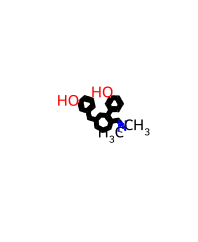 CN(C)CC1=C(c2cccc(O)c2)CC(Cc2cccc(O)c2)CCC1